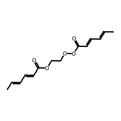 CC=CC=CC(=O)OCCOOC(=O)C=CC=CC